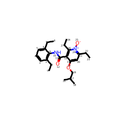 CCc1cccc(CC)c1NC(=O)c1c(OCC(C)C)cc(CC)[n+]([O-])c1CC